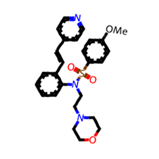 COc1ccc(S(=O)(=O)N(CCN2CCOCC2)c2ccccc2/C=C/c2ccncc2)cc1